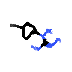 CCc1ccc(N(N)/C(N)=N\N)cc1